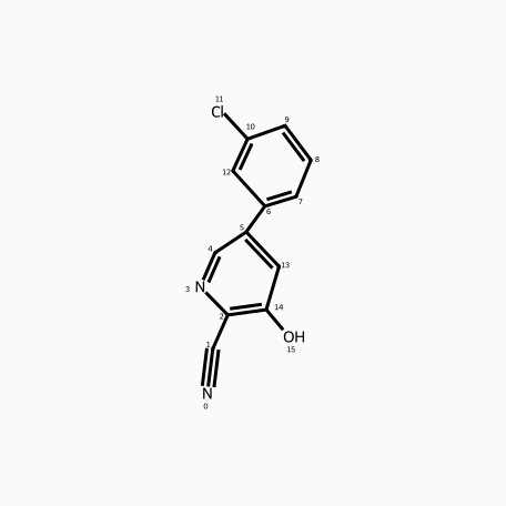 N#Cc1ncc(-c2cccc(Cl)c2)cc1O